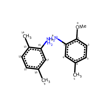 COc1ccc(C)cc1N.Cc1ccc(C)c(N)c1